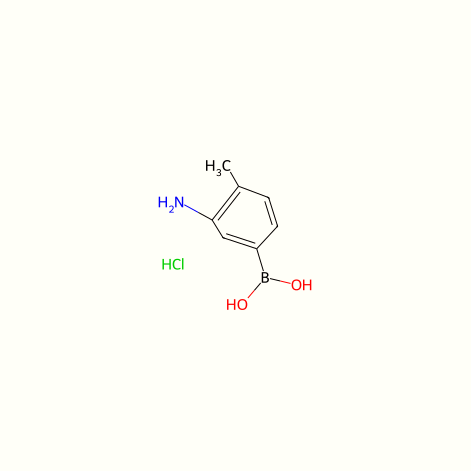 Cc1ccc(B(O)O)cc1N.Cl